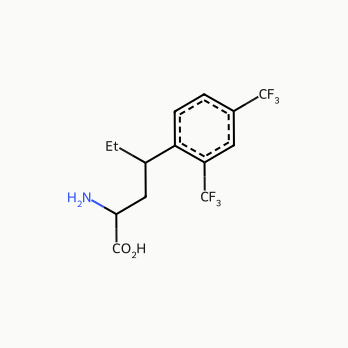 CCC(CC(N)C(=O)O)c1ccc(C(F)(F)F)cc1C(F)(F)F